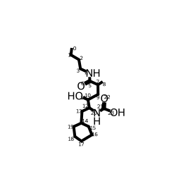 CCCCNC(=O)C(C)CC(O)C(CC1CCCCC1)NC(=O)O